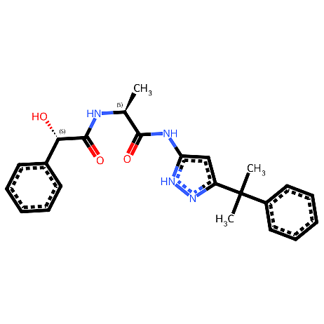 C[C@H](NC(=O)[C@@H](O)c1ccccc1)C(=O)Nc1cc(C(C)(C)c2ccccc2)n[nH]1